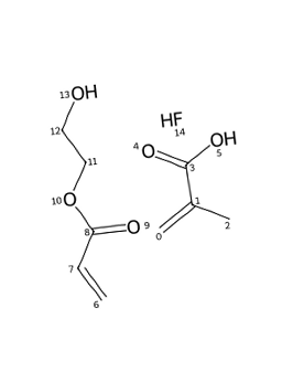 C=C(C)C(=O)O.C=CC(=O)OCCO.F